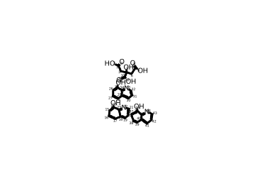 O=C(O)CC(O)(CC(=O)O)C(=O)O.Oc1cccc2cccnc12.Oc1cccc2cccnc12.Oc1cccc2cccnc12